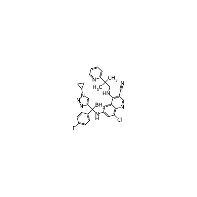 BC(Nc1cc(Cl)c2ncc(C#N)c(NCC(C)(C)c3ccccn3)c2c1)(c1ccc(F)cc1)c1cn(C2CC2)nn1